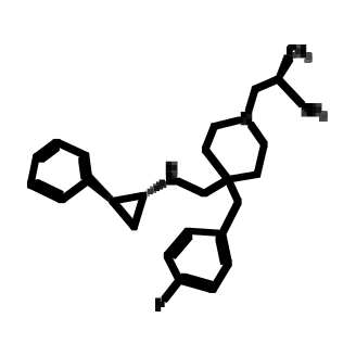 C[C@@H](N)CN1CCC(CN[C@@H]2C[C@H]2c2ccccc2)(Cc2ccc(F)cc2)CC1